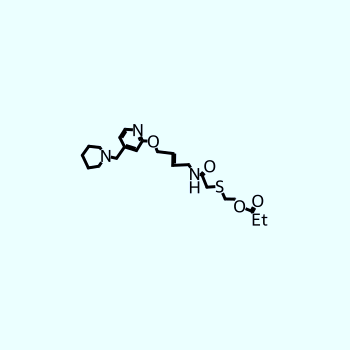 CCC(=O)OCCSCC(=O)NCC=CCOc1cc(CN2CCCCC2)ccn1